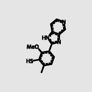 COc1c(-c2nc3cnccc3[nH]2)ccc(C)c1S